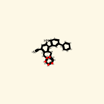 N#Cc1cc2[nH]c3ccc(-c4ccccc4)cc3c2c2c1C1c3ccccc3C2c2ccccc21